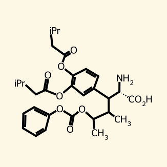 CC(C)CC(=O)Oc1ccc(C(C(C)C(C)OC(=O)Oc2ccccc2)[C@H](N)C(=O)O)cc1OC(=O)CC(C)C